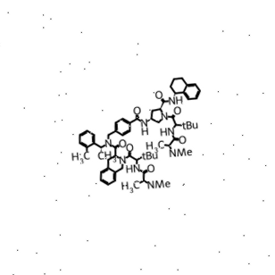 CNC(C)C(=O)NC(C(=O)N1Cc2ccccc2CC1C(=O)N(Cc1ccc(C(=O)N[C@H]2C[C@@H](C(=O)N[C@@H]3CCCc4ccccc43)N(C(=O)C(NC(=O)C(C)NC)C(C)(C)C)C2)cc1)[C@H](C)c1ccccc1C)C(C)(C)C